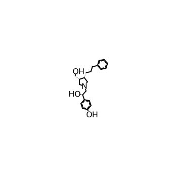 OC[C@H]1CN(C[C@@H](O)c2ccc(O)cc2)C[C@H]1CCCc1ccccc1